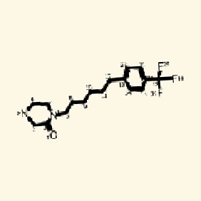 O=C1C[N]CCN1CCCCCCc1ccc(C(F)(F)F)cc1